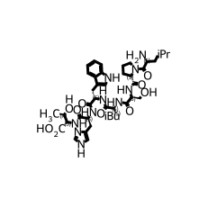 CC[C@H](C)[C@H](NC(=O)[C@H](CO)NC(=O)[C@@H]1CCCN1C(=O)[C@@H](N)CC(C)C)C(=O)N[C@@H](Cc1c[nH]c2ccccc12)C(=O)N[C@@H](Cc1c[nH]cn1)C(=O)N[C@H](C(=O)O)[C@@H](C)O